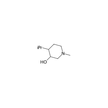 CC(C)C1CCN(C)CC1O